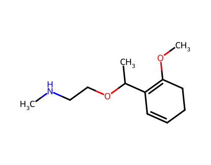 CNCCOC(C)C1=C(OC)CCC=C1